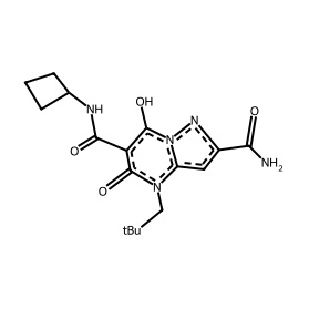 CC(C)(C)Cn1c(=O)c(C(=O)NC2CCC2)c(O)n2nc(C(N)=O)cc12